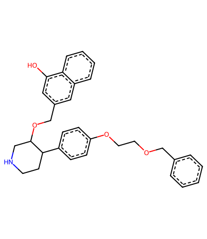 Oc1cc(COC2CNCCC2c2ccc(OCCOCc3ccccc3)cc2)cc2ccccc12